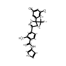 Cc1cc(C2=NOC(c3cc(Cl)cc(Cl)c3)(C(F)(F)F)C2)ccc1C(=O)Nc1ccoc1